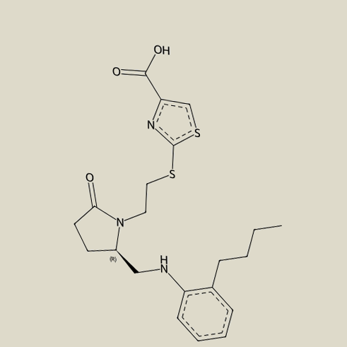 CCCCc1ccccc1NC[C@H]1CCC(=O)N1CCSc1nc(C(=O)O)cs1